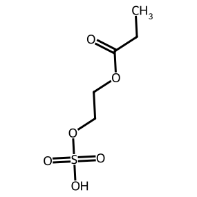 CCC(=O)OCCOS(=O)(=O)O